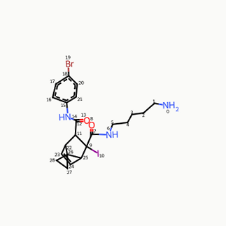 NCCCCCNC(=O)C1(I)C(C(=O)Nc2ccc(Br)cc2)C2C=CC1C21CC1